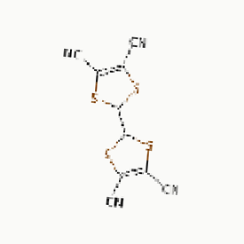 N#CC1=C(C#N)SC(C2SC(C#N)=C(C#N)S2)S1